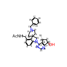 CC(=O)NCc1cccc2c1C1(CCN(Cc3ccccc3)CC1)CN2c1ncnc2c1[C@H](C)C[C@H]2O